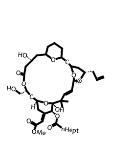 C=CC[C@H]1CC2CC3CCCC(C[C@@H](O)CC(=O)O[C@@H](CO)C[C@@H]4C/C(=C\C(=O)OC)[C@H](OC(=O)CCCCCCC)[C@@](O)(O4)C(C)(C)/C=C/[C@H](O2)O1)O3